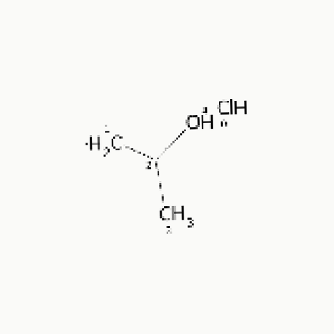 Cl.[CH2]C(C)O